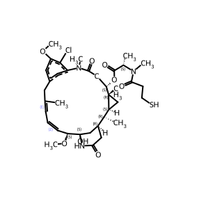 COc1cc2cc(c1Cl)N(C)C(=O)C[C@H](OC(=O)[C@H](C)N(C)C(=O)CCS)[C@]1(C)C[C@H]1[C@H](C)[C@H]1CC(=O)N[C@](O)(C1)[C@@H](OC)/C=C\C=C(/C)C2